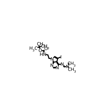 CN(C)/C=N/c1ncnc2c1c(I)cn2CCNC(=O)OC(C)(C)C